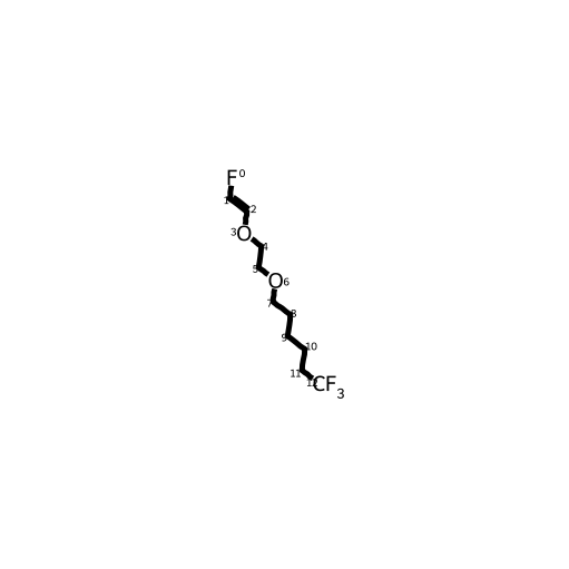 FC=COCCOCCCCCC(F)(F)F